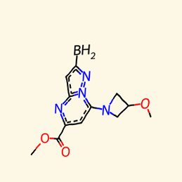 Bc1cc2nc(C(=O)OC)cc(N3CC(OC)C3)n2n1